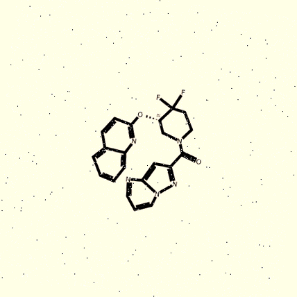 O=C(c1cc2ncccn2n1)N1CCC(F)(F)[C@@H](Oc2ccc3ccccc3n2)C1